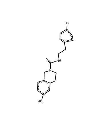 Oc1ccc2c(c1)CCN(C(=S)NCCc1ccc(Cl)cc1)C2